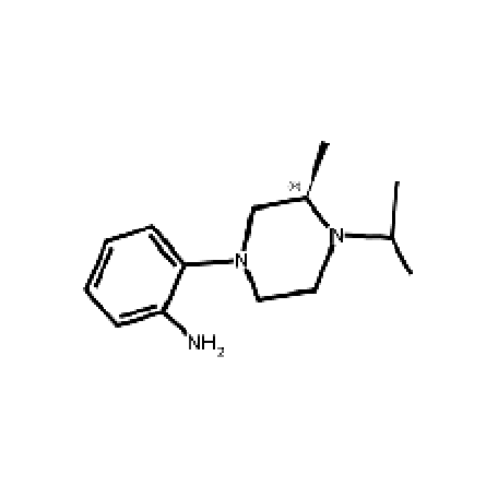 CC(C)N1CCN(c2ccccc2N)C[C@H]1C